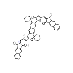 O=C1C(=Cc2cc3c(s2)C2=CC4C=C5C(=CC4C=C2C2(CCCCC2)O3)c2sc(/C=C3/C(=O)c4cc6ccccc6cc4C3O)cc2OC52CCCCC2)C(=O)c2cc3ccccc3cc21